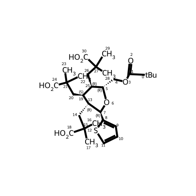 CC(C)(C)C(=O)OC[C@@H]1O[C@@H](c2cccs2)[C@H](CC(C)(C)C(=O)O)[C@@H](CC(C)(C)C(=O)O)[C@H]1CC(C)(C)C(=O)O